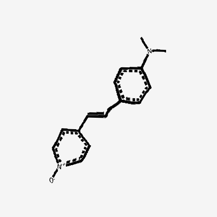 CN(C)c1ccc(C=Cc2cc[n+]([O-])cc2)cc1